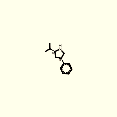 CC(C)[C@@H]1C[C@H](c2ccccc2)CN1